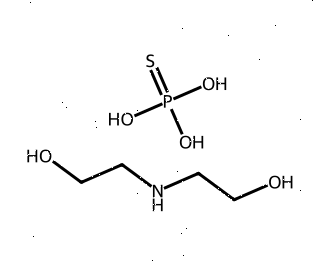 OCCNCCO.OP(O)(O)=S